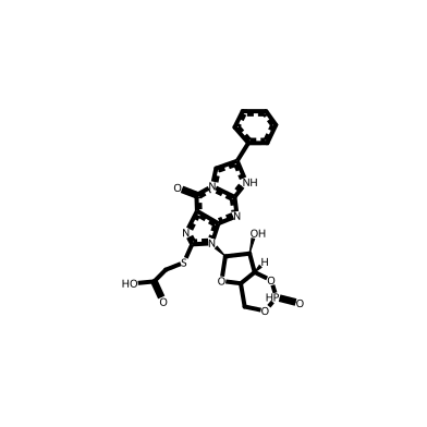 O=C(O)CSc1nc2c(=O)n3cc(-c4ccccc4)[nH]c3nc2n1[C@@H]1OC2CO[PH](=O)O[C@H]2[C@@H]1O